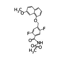 COc1ccc2cccc(OCc3cc(F)c(C(=O)NS(C)(=O)=O)cc3F)c2c1